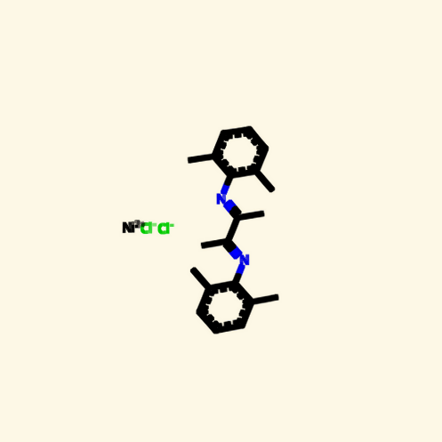 CC(=Nc1c(C)cccc1C)C(C)=Nc1c(C)cccc1C.[Cl-].[Cl-].[Ni+2]